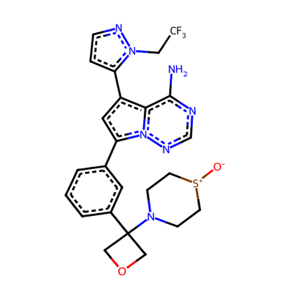 Nc1ncnn2c(-c3cccc(C4(N5CC[S+]([O-])CC5)COC4)c3)cc(-c3ccnn3CC(F)(F)F)c12